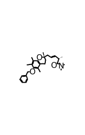 Cc1c(C)c2c(c(C)c1OCc1ccccc1)CC[C@@](C)(C/C=C/[C@H](C)C(=O)N(C)C)O2